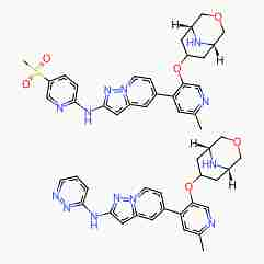 Cc1cc(-c2ccn3nc(Nc4ccc(S(C)(=O)=O)cn4)cc3c2)c(OC2C[C@H]3COC[C@@H](C2)N3)cn1.Cc1cc(-c2ccn3nc(Nc4cccnn4)cc3c2)c(OC2C[C@H]3COC[C@@H](C2)N3)cn1